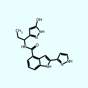 CCC(NC(=O)c1cccc2[nH]c(-c3cc[nH]n3)cc12)c1cc(O)[nH]n1